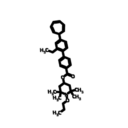 CCCON1C(C)(C)CC(OC(=O)c2ccc(-c3ccc(C4C=CC=CC=C4)cc3CC)cc2)CC1(C)C